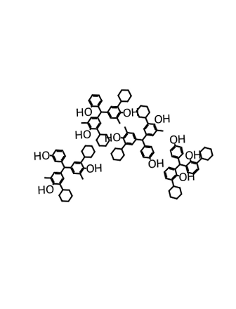 Cc1cc(C(c2cc(C)c(O)c(C3CCCCC3)c2)c2ccccc2O)cc(C2CCCCC2)c1O.Cc1cc(C(c2ccc(O)cc2)c2cc(C)c(O)c(C3CCCCC3)c2)cc(C2CCCCC2)c1O.Cc1cc(C(c2cccc(O)c2)c2cc(C)c(O)c(C3CCCCC3)c2)cc(C2CCCCC2)c1O.Oc1ccc(C(c2cccc(C3CCCCC3)c2O)c2cccc(C3CCCCC3)c2O)cc1